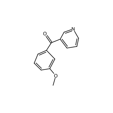 COc1cccc(C(=O)c2cccnc2)c1